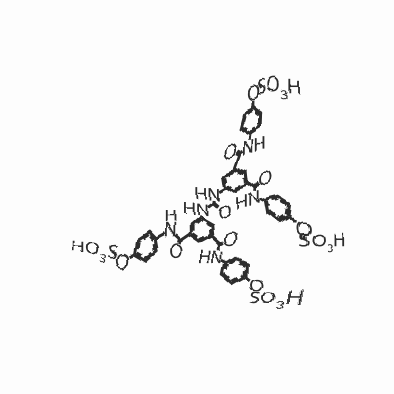 O=C(Nc1cc(C(=O)Nc2ccc(OS(=O)(=O)O)cc2)cc(C(=O)Nc2ccc(OS(=O)(=O)O)cc2)c1)Nc1cc(C(=O)Nc2ccc(OS(=O)(=O)O)cc2)cc(C(=O)Nc2ccc(OS(=O)(=O)O)cc2)c1